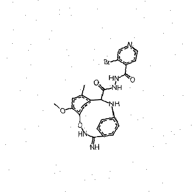 COc1cc(C)c2cc1ONC(=N)c1ccc(cc1)NC2C(=O)NNC(=O)c1ccncc1Br